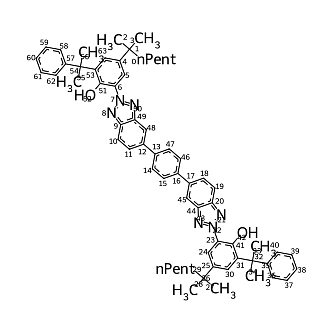 CCCCCC(C)(C)c1cc(-n2nc3ccc(-c4ccc(-c5ccc6nn(-c7cc(C(C)(C)CCCCC)cc(C(C)(C)c8ccccc8)c7O)nc6c5)cc4)cc3n2)c(O)c(C(C)(C)c2ccccc2)c1